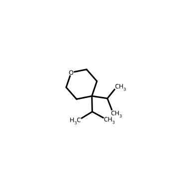 CC(C)C1(C(C)C)CCOCC1